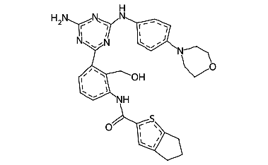 Nc1nc(Nc2ccc(N3CCOCC3)cc2)nc(-c2cccc(NC(=O)c3cc4c(s3)CCC4)c2CO)n1